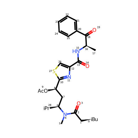 CC[C@H](C)CC(=O)N(C)[C@H](C[C@@H](OC(C)=O)c1nc(C(=O)N[C@H](C)C(=O)c2ccccc2)cs1)C(C)C